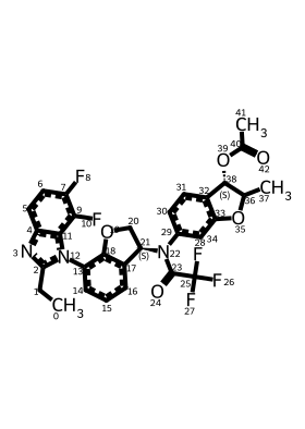 CCc1nc2ccc(F)c(F)c2n1-c1cccc2c1OC[C@H]2N(C(=O)C(F)(F)F)c1ccc2c(c1)OC(C)[C@H]2OC(C)=O